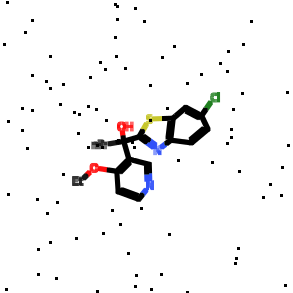 CCCC(O)(c1nc2ccc(Cl)cc2s1)c1cnccc1OCC